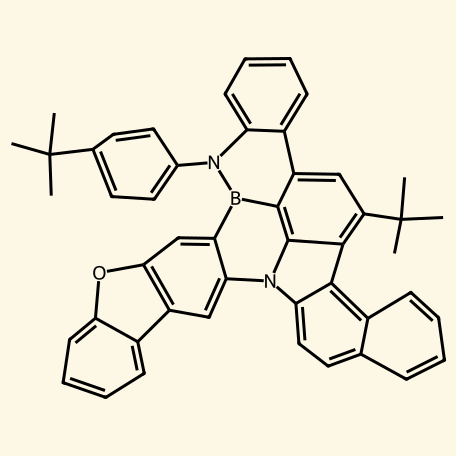 CC(C)(C)c1ccc(N2B3c4cc5oc6ccccc6c5cc4-n4c5ccc6ccccc6c5c5c(C(C)(C)C)cc(c3c54)-c3ccccc32)cc1